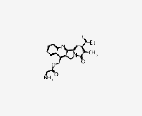 CCC(=O)c1cc2n(c(=O)c1C)Cc1c-2nc2ccccc2c1COC(=O)CN